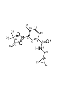 C=C1OB(c2cc(C(=O)NCC3CC3)ccc2C)OC1(C)C